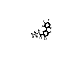 CN(C)S(=O)(=O)NC(=O)c1cc(-c2c(F)cc(F)c(F)c2F)c(F)cc1Cl